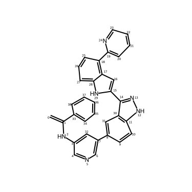 C=C(Nc1cncc(-c2ccc3[nH]nc(-c4cc5c(-c6ccccn6)cccc5[nH]4)c3c2)c1)c1ccccc1